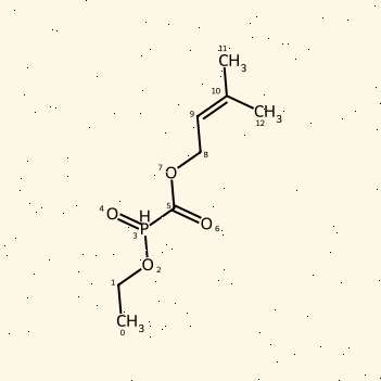 CCO[PH](=O)C(=O)OCC=C(C)C